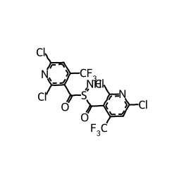 N=S(C(=O)c1c(C(F)(F)F)cc(Cl)nc1Cl)C(=O)c1c(C(F)(F)F)cc(Cl)nc1Cl